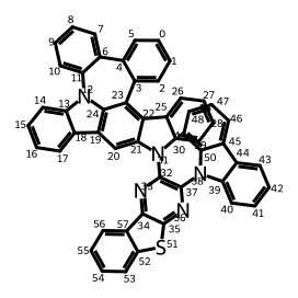 c1ccc2c(c1)-c1ccccc1-n1c3ccccc3c3cc4c(c-2c31)c1ccccc1n4-c1nc2c(nc1-n1c3ccccc3c3ccccc31)sc1ccccc12